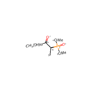 COP(=O)(OC)C(C)C(=O)N(C)O